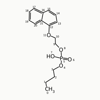 CCCCOP(=O)(O)OCCOc1cccc2ccccc12